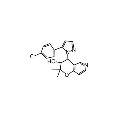 CC1(C)Oc2ccncc2C(n2nccc2-c2ccc(Cl)cc2)C1O